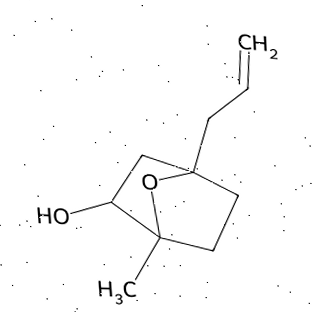 C=CCC12CCC(C)(O1)C(O)C2